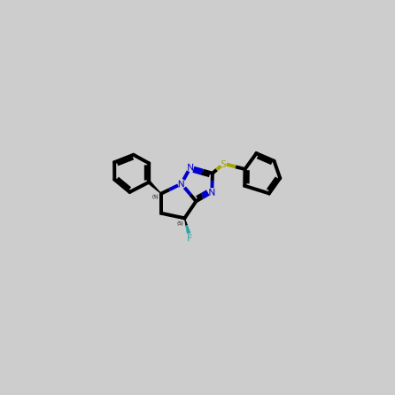 F[C@H]1C[C@@H](c2ccccc2)n2nc(Sc3ccccc3)nc21